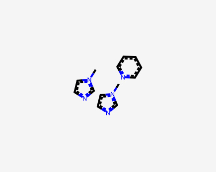 Cn1ccnc1.Cn1ccnc1.c1ccncc1